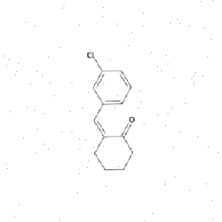 O=C1CCCCC1=Cc1cccc(Cl)c1